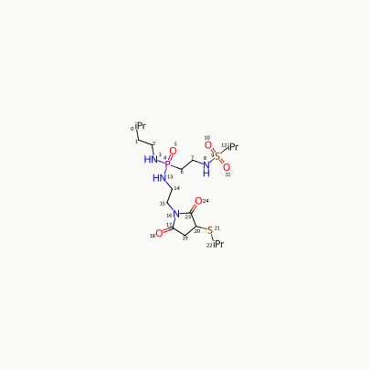 CC(C)CCNP(=O)(CCNS(=O)(=O)C(C)C)NCCN1C(=O)CC(SC(C)C)C1=O